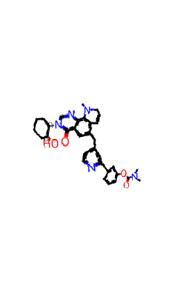 CN(C)C(=O)Oc1cccc(-c2cc(Cc3cc4c(=O)n([C@H]5CCCC[C@@H]5O)cnc4c4c3C=CCN4C)ccn2)c1